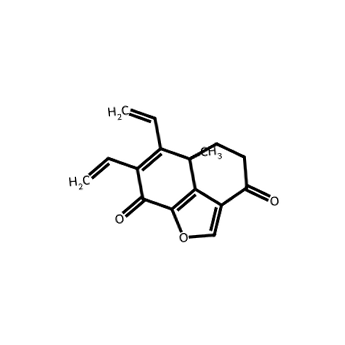 C=CC1=C(C=C)C2(C)CCC(=O)c3coc(c32)C1=O